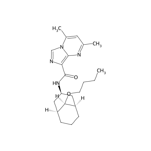 CCCCO[C@H]1[C@@H]2CCC[C@H]1C[C@@H](NC(=O)c1ncn3c(C)cc(C)nc13)C2